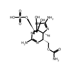 NC(=O)OC[C@@H]1N=C(N)N2C[C@@H](OS(=O)(=O)O)C(O)(O)[C@@]23NC(N)=N[C@@H]13